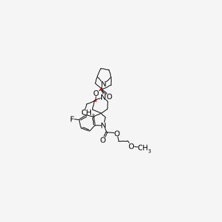 CCCOC(=O)N1C2CCC1CC(N1CCC3(CC1)CN(C(=O)OCCOC)c1ccc(F)cc13)C2